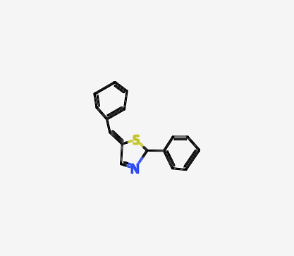 C1=NC(c2ccccc2)S/C1=C\c1ccccc1